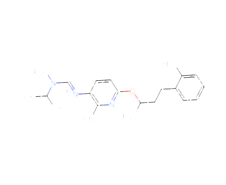 Cc1ccccc1CCC(C)Oc1ccc(/N=C/N(C)C(C)C)c(C)n1